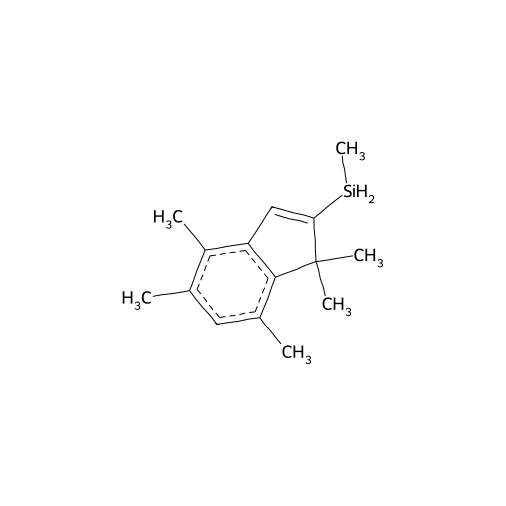 C[SiH2]C1=Cc2c(C)c(C)cc(C)c2C1(C)C